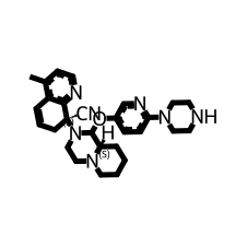 Cc1ccnc2c1C=CC[C@]2(C#N)N1CCN2CCCC[C@H]2C1Oc1ccc(N2CCNCC2)nc1